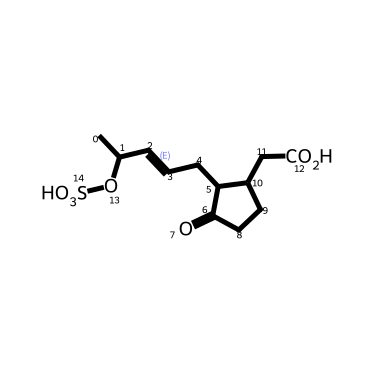 CC(/C=C/CC1C(=O)CCC1CC(=O)O)OS(=O)(=O)O